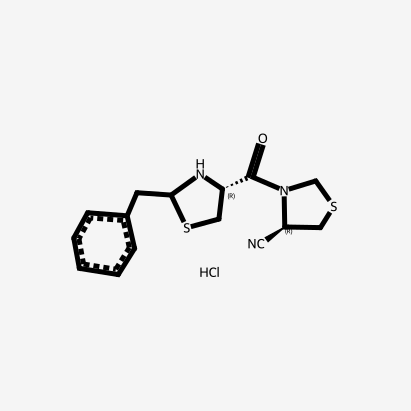 Cl.N#C[C@@H]1CSCN1C(=O)[C@@H]1CSC(Cc2ccccc2)N1